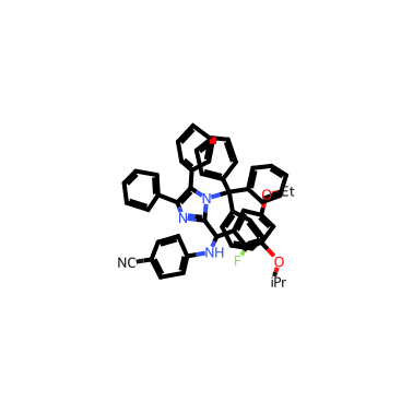 CCOc1cc(OC(C)C)c(F)c(C(Nc2ccc(C#N)cc2)c2nc(-c3ccccc3)c(-c3ccccc3)n2C(c2ccccc2)(c2ccccc2)c2ccccc2)c1